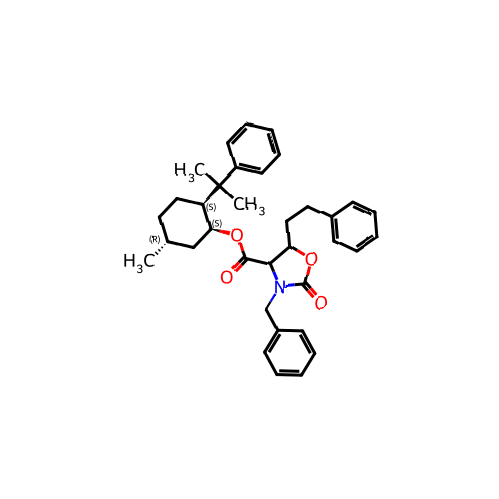 C[C@@H]1CC[C@@H](C(C)(C)c2ccccc2)[C@@H](OC(=O)C2C(CCc3ccccc3)OC(=O)N2Cc2ccccc2)C1